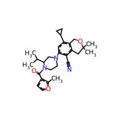 Cc1occc1C(=O)N1CCN(c2cc(C3CC3)c3c(c2C#N)CC(C)(C)OC3)CC1C(C)C